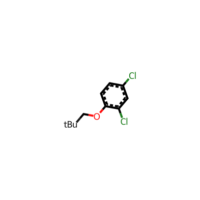 CC(C)(C)COc1ccc(Cl)cc1Cl